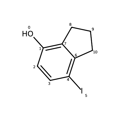 Oc1ccc(I)c2c1CCC2